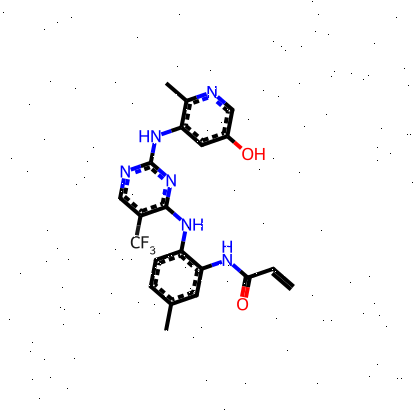 C=CC(=O)Nc1cc(C)ccc1Nc1nc(Nc2cc(O)cnc2C)ncc1C(F)(F)F